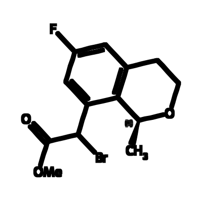 COC(=O)C(Br)c1cc(F)cc2c1[C@H](C)OCC2